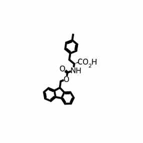 Cc1ccc(C[C@@H](NC(=O)OCC2c3ccccc3-c3ccccc32)C(=O)O)cc1